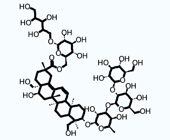 C[C@H]1O[C@@H](O[C@H]2CC[C@@]3(C)C(CC[C@]4(C)C3C=CC3=C5C[C@@](C)(C(=O)OC[C@H]6O[C@H](OCC(O)C(O)C(O)CO)[C@H](O)[C@@H](O)[C@@H]6O)CC[C@]5(CO)[C@H](O)C[C@]34C)[C@]2(C)CO)[C@H](O)[C@@H](O[C@@H]2O[C@H](CO)[C@@H](O)[C@H](O)[C@H]2O[C@@H]2O[C@H](CO)[C@@H](O)[C@H](O)[C@H]2O)[C@H]1O